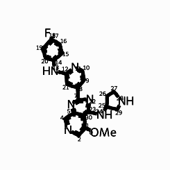 COc1cncc2nc(-c3ccnc(Nc4ccc(F)cc4)c3)nc(NC3CCNC3)c12